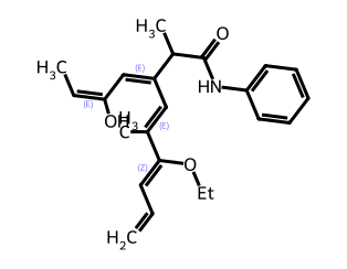 C=C/C=C(OCC)/C(C)=C/C(=C\C(O)=C/C)C(C)C(=O)Nc1ccccc1